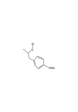 CCOC(C)Cc1ccc(OC)cc1